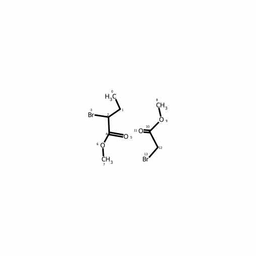 CCC(Br)C(=O)OC.COC(=O)CBr